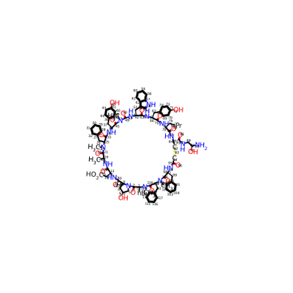 CCCC[C@H]1C(=O)N2C[C@@H](O)C[C@@H]2C(=O)N[C@@H](CC(=O)O)C(=O)N[C@@H](C)C(=O)N(C)C(Cc2ccccc2)C(=O)N[C@@H](Cc2ccc(O)cc2)C(=O)N(C)C(=O)N[C@@H](Cc2c[nH]c3ccccc23)C(=O)N[C@@H](Cc2ccc(O)cc2)C(=O)N[C@@H](CC(C)C)C(=O)N[C@H](C(=O)NCC(N)O)CSCC(=O)N[C@@H](Cc2ccccc2)C(=O)N(C)[C@@H](Cc2ccccc2)C(=O)N1C